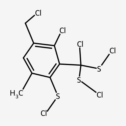 Cc1cc(CCl)c(Cl)c(C(Cl)(SCl)SCl)c1SCl